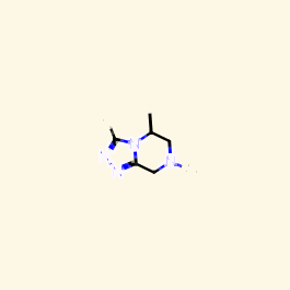 CC(=O)N1Cc2nnc(C(F)(F)F)n2C(C)C1